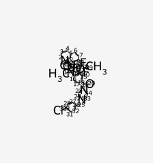 CN1CC=Cc2cccc(S(=O)(=O)N(C)c3ccc(C(=O)N4CCN(Cc5ccc(Cl)cc5)CC4)cc3OC(C)(F)F)c21